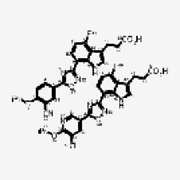 CC(C)Oc1ccc(-c2nc(-c3ccc(F)c4c(CCC(=O)O)c[nH]c34)no2)cc1C#N.CC(C)Oc1ncc(-c2nc(-c3ccc(F)c4c(CCC(=O)O)c[nH]c34)no2)cc1Cl